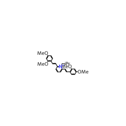 COc1ccc(/C=C/c2cccc(/C=C/c3ccc(OC)cc3OC)[n+]2CC(C)C)c(OC)c1